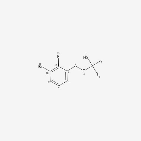 CC(S)(I)OCc1cccc(Br)c1F